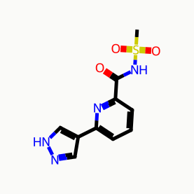 CS(=O)(=O)NC(=O)c1cccc(-c2cn[nH]c2)n1